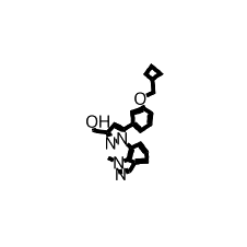 Cn1ncc2cccc(-n3nc(CO)cc3-c3cccc(OCC4CCC4)c3)c21